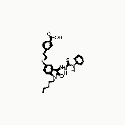 CCCCCN1C(=O)C(=NNC(=S)Nc2ccccc2)c2cc(SCCc3ccc(C(=O)O)cc3)ccc21